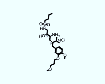 CCCCS(=O)(=O)NC[C@H](O)[C@@H](N)C[C@H](Cc1ccc(OC)c(OCCCOC)c1)C(C)C.Cl